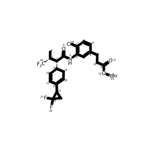 C[C@H]([C@H](C(=O)Nc1cc(CCC(=O)OC(C)(C)C)ccc1Cl)C1C=CC(C2CC2(F)F)=CC1)C(F)(F)F